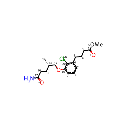 COC(=O)CCCc1cccc(OC[C@@H](C)CCC(N)=O)c1Cl